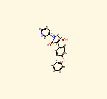 O=C1C(c2ccc(Oc3ccccc3)cc2)=C(O)CN1c1cccnc1